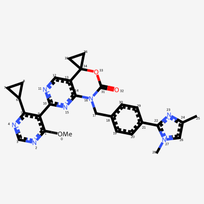 COc1ncnc(C2CC2)c1-c1ncc2c(n1)N(Cc1ccc(-c3nc(C)cn3C)cc1)C(=O)OC21CC1